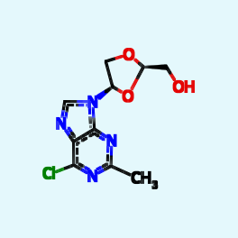 Cc1nc(Cl)c2ncn([C@H]3CO[C@@H](CO)O3)c2n1